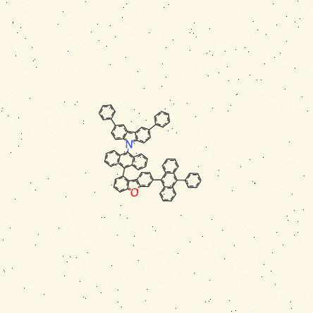 c1ccc(-c2ccc3c(c2)c2cc(-c4ccccc4)ccc2n3-c2c3ccccc3c(-c3cccc4oc5cc(-c6c7ccccc7c(-c7ccccc7)c7ccccc67)ccc5c34)c3ccccc23)cc1